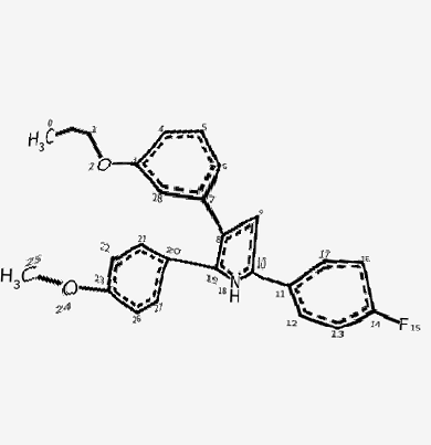 CCOc1cccc(-c2cc(-c3ccc(F)cc3)[nH]c2-c2ccc(OC)cc2)c1